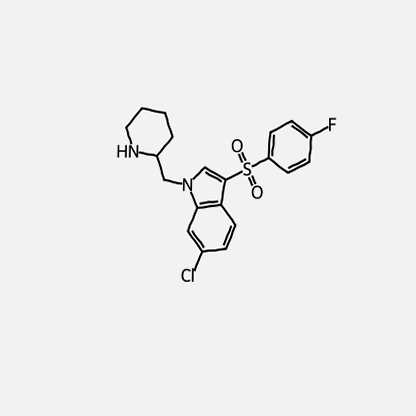 O=S(=O)(c1ccc(F)cc1)c1cn(CC2CCCCN2)c2cc(Cl)ccc12